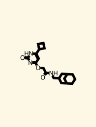 O=C(COc1cc(C2CCC2)[nH]c(=O)n1)NCC1CC2CCCC(C2)C1